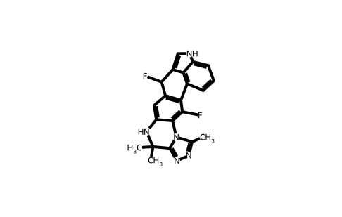 Cc1nnc2n1-c1c(cc3c(c1F)-c1cccc4[nH]cc(c14)C3F)NC2(C)C